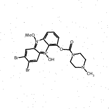 CO[n+]1c2cc(Br)c(Br)cc2[n+](O)c2c(OC(=O)N3CCN(C)CC3)cccc21